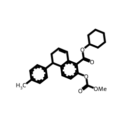 COC(=O)Oc1ccc2c(c1C(=O)OC1CCCCC1)C=CCC2c1ccc(C)cc1